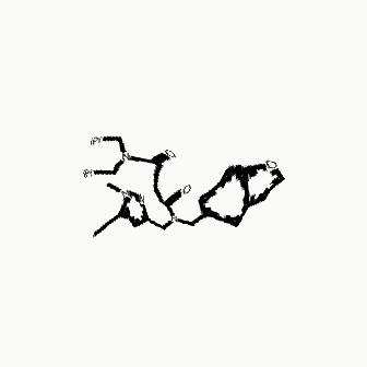 Cc1cc(CN(Cc2ccc3occc3c2)C(=O)CC(=O)N(CC(C)C)CC(C)C)nn1C